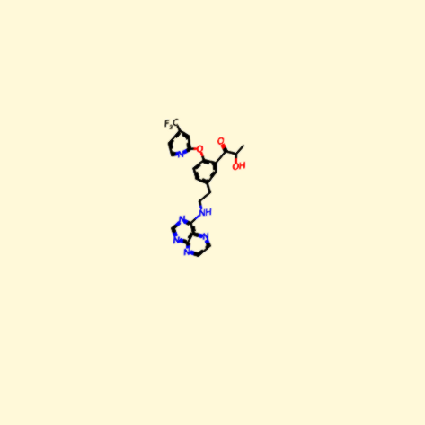 CC(O)C(=O)c1cc(CCNc2ncnc3nccnc23)ccc1Oc1cc(C(F)(F)F)ccn1